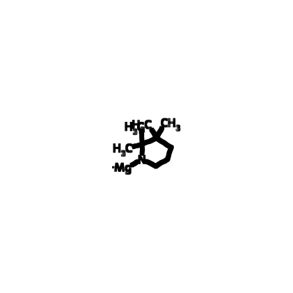 CC1(C)CCC[N]([Mg])C1(C)C